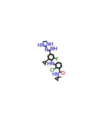 CC1(NC(=O)c2cccc(Nc3c(F)cc(C(=N)N=C4NCCN4)cc3C3CC3)c2Cl)CC1